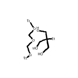 CCC(CO)(CO)CO.CCOCOCOCC